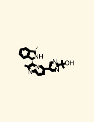 Cc1nc2ccc(-c3cnc(C(C)(C)O)nc3)cn2c1[C@H]1N[C@@H](C)c2ccccc21